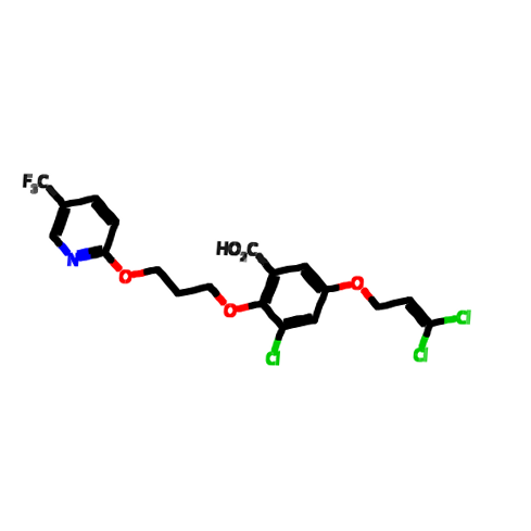 O=C(O)c1cc(OCC=C(Cl)Cl)cc(Cl)c1OCCCOc1ccc(C(F)(F)F)cn1